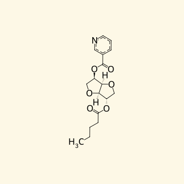 CCCCC(=O)O[C@H]1CO[C@H]2[C@@H]1OC[C@H]2OC(=O)c1cccnc1